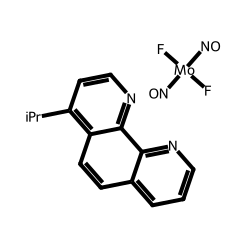 CC(C)c1ccnc2c1ccc1cccnc12.O=[N][Mo]([F])([F])[N]=O